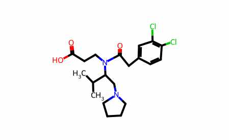 CC(C)C(CN1CCCC1)N(CCC(=O)O)C(=O)Cc1ccc(Cl)c(Cl)c1